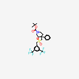 CC(C)(C)OC(=O)N1CCC(CS(=O)(=O)Cc2cc(C(F)(F)F)cc(C(F)(F)F)c2)(c2ccccc2)CC1